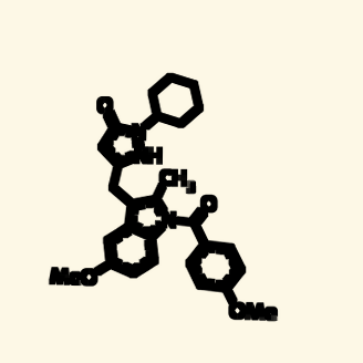 COc1ccc(C(=O)n2c(C)c(Cc3cc(=O)n(C4CCCCC4)[nH]3)c3cc(OC)ccc32)cc1